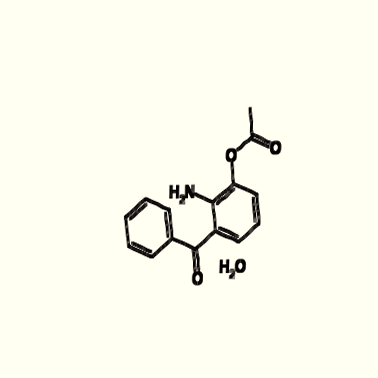 CC(=O)Oc1cccc(C(=O)c2ccccc2)c1N.O